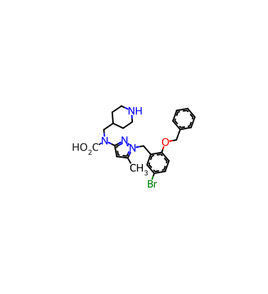 Cc1cc(N(CC2CCNCC2)C(=O)O)nn1Cc1cc(Br)ccc1OCc1ccccc1